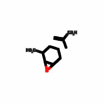 C=C(C)C(=O)O.O=C(O)C1CCCC2OC21